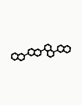 c1ccc2cc(-c3ccc4cc(-c5cccc6c(-c7ccc8ccccc8c7)cccc56)ccc4c3)ccc2c1